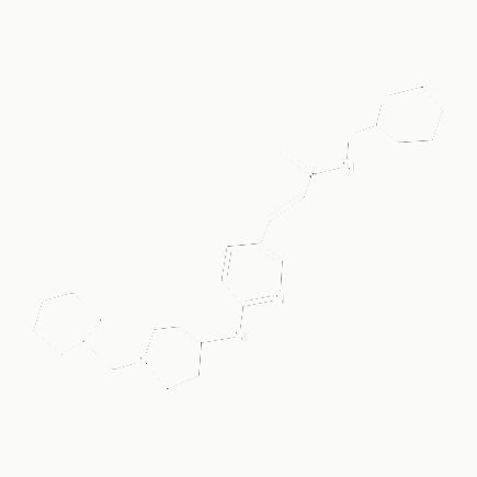 O=C(/C=C/c1ccc(NC2CCN(CC3CCCCC3)CC2)nc1)NOC1CCCCO1